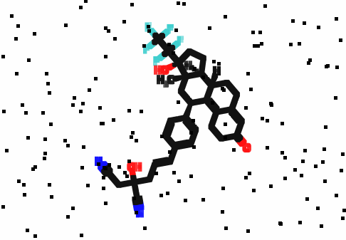 C[C@]12C[C@H](c3ccc(C=CCC(O)(C#N)CC#N)cc3)C3=C4CCC(=O)C=C4CC[C@H]3[C@@H]1CC[C@@]2(O)C(F)(F)C(F)(F)F